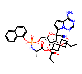 CCC(=O)O[C@H]1[C@@H](OC(=O)CC)C(C#N)(c2ccc3c(N)ncnn23)O[C@@H]1COP(=O)(N[C@@H](C)C(=O)OC1CC2(CCC2)C1)Oc1cccc2ccccc12